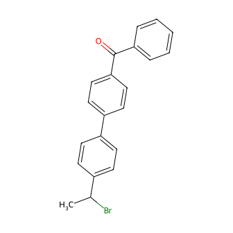 CC(Br)c1ccc(-c2ccc(C(=O)c3ccccc3)cc2)cc1